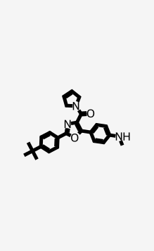 CNc1ccc(-c2oc(-c3ccc(C(C)(C)C)cc3)nc2C(=O)N2CC=CC2)cc1